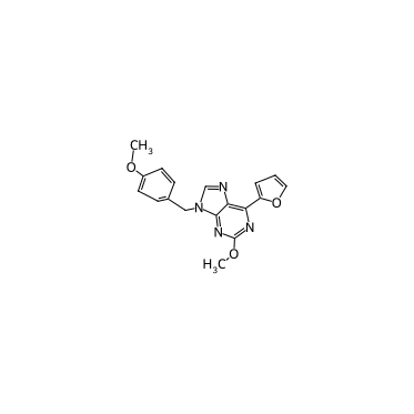 COc1ccc(Cn2cnc3c(-c4ccco4)nc(OC)nc32)cc1